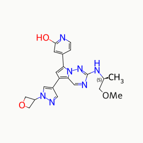 COC[C@H](C)Nc1ncc2c(-c3cnn(C4COC4)c3)cc(-c3ccnc(O)c3)n2n1